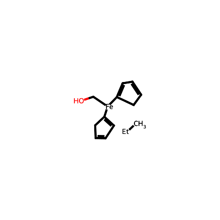 CCC.O[CH2][Fe]([C]1=CC=CC1)[C]1=CC=CC1